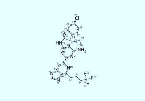 Nc1nc(-c2cn3ncnc3c(CCCC(F)(F)F)n2)nc2c1C(c1ccc(Cl)cc1)(C1CC1)C(=O)N2